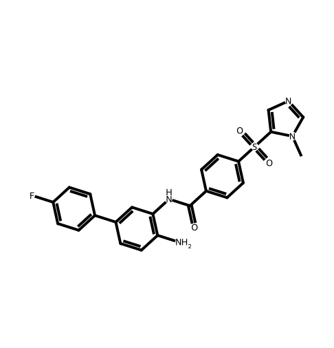 Cn1cncc1S(=O)(=O)c1ccc(C(=O)Nc2cc(-c3ccc(F)cc3)ccc2N)cc1